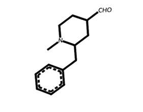 CN1CCC(C=O)CC1Cc1ccccc1